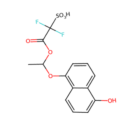 CC(OC(=O)C(F)(F)S(=O)(=O)O)Oc1cccc2c(O)cccc12